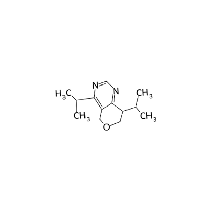 CC(C)c1ncnc2c1COCC2C(C)C